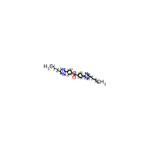 CCCCCc1cnc(-c2ccc(OC(=O)c3ccc(-c4ncc(CCCCC)cn4)cc3)cc2)nc1